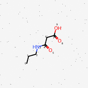 CCCNC(=O)CC(=O)O